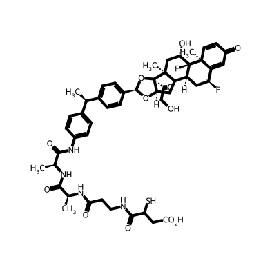 C[C@H](c1ccc(NC(=O)[C@H](C)NC(=O)[C@H](C)NC(=O)CCNC(=O)C(S)CC(=O)O)cc1)c1ccc([C@@H]2O[C@@H]3CC4[C@@H]5C[C@H](F)C6=CC(=O)C=C[C@]6(C)[C@@]5(F)[C@@H](O)C[C@]4(C)[C@]3(C(=O)CO)O2)cc1